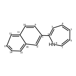 [c]1c(C2=CC=CC=CN2)ccc2ccccc12